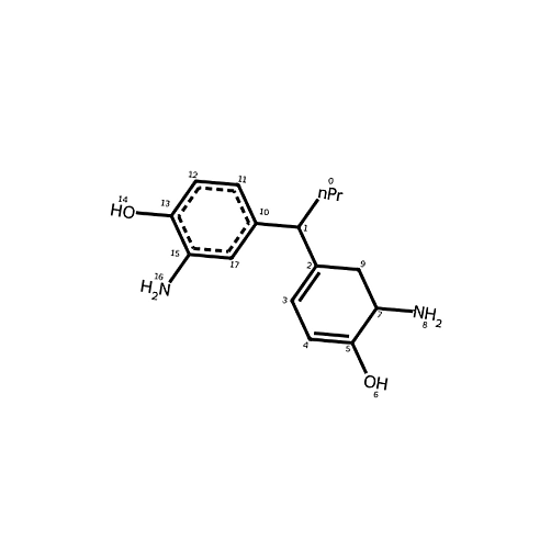 CCCC(C1=CC=C(O)C(N)C1)c1ccc(O)c(N)c1